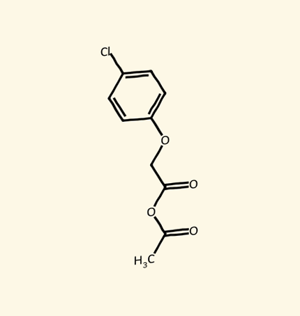 CC(=O)OC(=O)COc1ccc(Cl)cc1